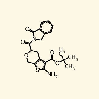 CC(C)(C)OC(=O)c1c(N)sc2c1CC(C(=O)N1Cc3ccccc3C1=O)OC2